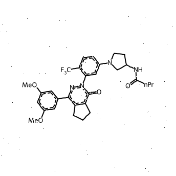 CCCC(=O)NC1CCN(c2ccc(C(F)(F)F)c(-n3nc(-c4cc(OC)cc(OC)c4)c4c(c3=O)CCC4)c2)C1